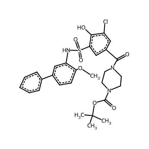 COc1ccc(-c2ccccc2)cc1NS(=O)(=O)c1cc(C(=O)N2CCN(C(=O)OC(C)(C)C)CC2)cc(Cl)c1O